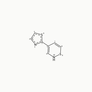 [C]1=C(c2nccs2)C=CSN1